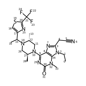 CCn1c(CC#N)nc2c(N3C[C@@H](C)N(C(C)c4csc(C(F)(F)F)n4)C[C@@H]3C)nc(=O)n(C)c21